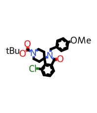 COc1ccc(CN2C(=O)c3cccc(Cl)c3C23CCN(C(=O)OC(C)(C)C)CC3)cc1